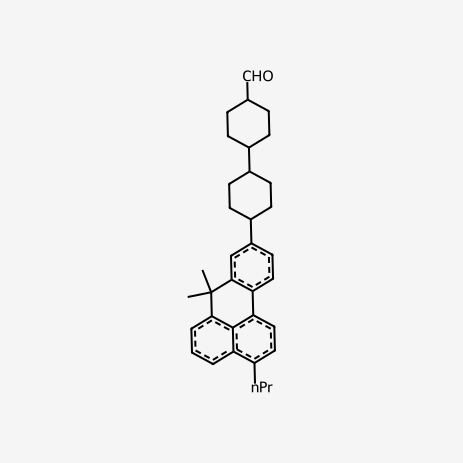 CCCc1ccc2c3c(cccc13)C(C)(C)c1cc(C3CCC(C4CCC(C=O)CC4)CC3)ccc1-2